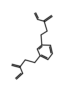 C=CC(=C)CCc1cccc(CCC(=C)C=C)c1